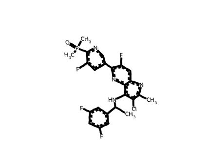 Cc1nc2cc(F)c(-c3cnc(P(C)(C)=O)c(F)c3)nc2c(NC(C)c2cc(F)cc(F)c2)c1Cl